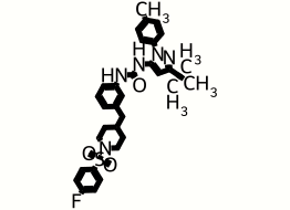 Cc1ccc(-n2nc(C(C)(C)C)cc2NC(=O)Nc2cccc(CC3CCN(S(=O)(=O)c4ccc(F)cc4)CC3)c2)cc1